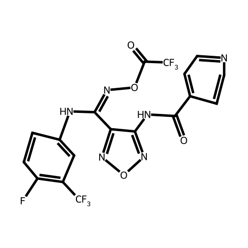 O=C(Nc1nonc1/C(=N\OC(=O)C(F)(F)F)Nc1ccc(F)c(C(F)(F)F)c1)c1ccncc1